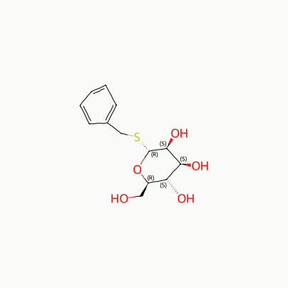 OC[C@H]1O[C@H](SCc2ccccc2)[C@@H](O)[C@@H](O)[C@@H]1O